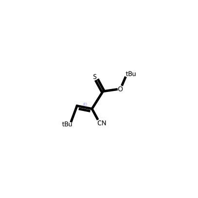 CC(C)(C)/C=C(\C#N)C(=S)OC(C)(C)C